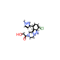 Cn1ccc(-c2ccc(Cl)c3nn4c(c23)CN(C(=O)CO)CC4)n1